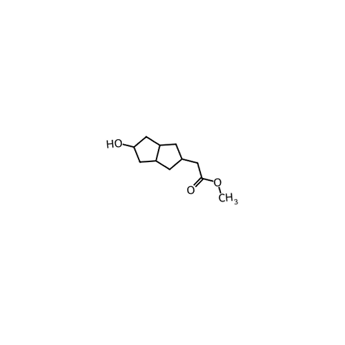 COC(=O)CC1CC2CC(O)CC2C1